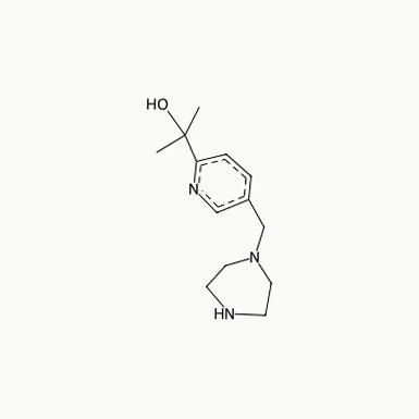 CC(C)(O)c1ccc(CN2CCNCC2)cn1